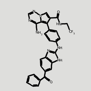 Nc1ncnn2cc(C(=O)NCC(F)(F)F)c(-c3ccc(Nc4nc5ccc(C(=O)c6ccccc6)cc5[nH]4)cc3)c12